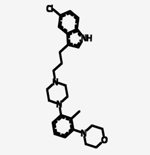 Cc1c(N2CCOCC2)cccc1N1CCN(CCCc2c[nH]c3ccc(Cl)cc23)CC1